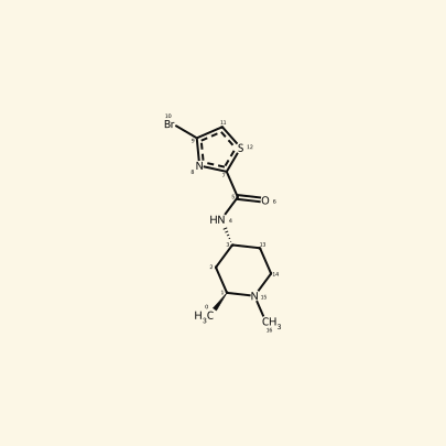 C[C@H]1C[C@H](NC(=O)c2nc(Br)cs2)CCN1C